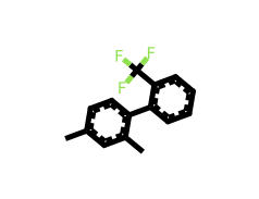 Cc1ccc(-c2ccccc2C(F)(F)F)c(C)c1